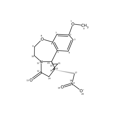 COc1ccc2c(c1)OCCN1C(=O)CC3[C@H](C[N+](=O)[O-])CC[C@]231